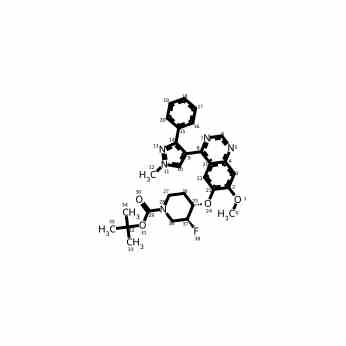 COc1cc2ncnc(-c3cn(C)nc3-c3ccccc3)c2cc1O[C@H]1CCN(C(=O)OC(C)(C)C)C[C@@H]1F